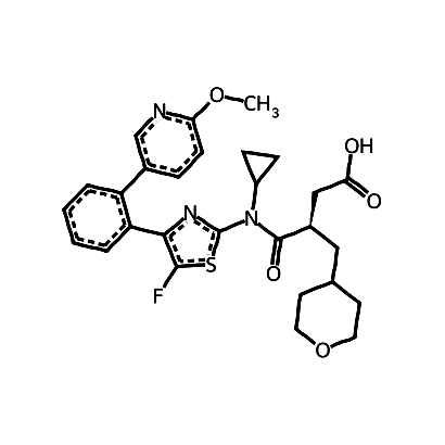 COc1ccc(-c2ccccc2-c2nc(N(C(=O)[C@@H](CC(=O)O)CC3CCOCC3)C3CC3)sc2F)cn1